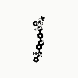 CC(C)(C)OC(=O)N1CCC[C@H]1c1ncc(-c2ccc(-c3cc4ccc(-c5cnc(C6CCCC6)[nH]5)cc4cn3)cc2)[nH]1